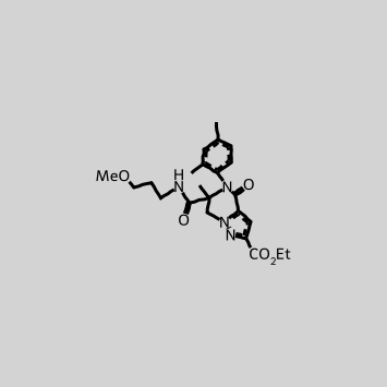 CCOC(=O)c1cc2n(n1)CC(C)(C(=O)NCCCOC)N(c1ccc(C)cc1C)C2=O